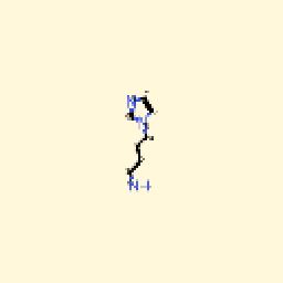 [NH]CCCCn1ccnc1